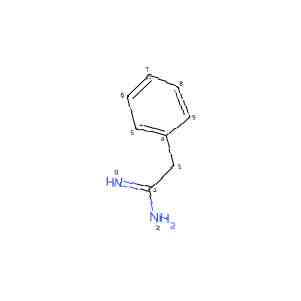 N=C(N)Cc1cc[c]cc1